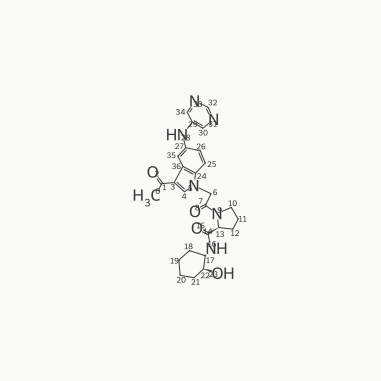 CC(=O)c1cn(CC(=O)N2CCC[C@H]2C(=O)N[C@H]2CCCC[C@@H]2O)c2ccc(Nc3cncnc3)cc12